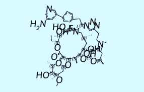 CC[C@H]1OC(=O)[C@H](C)[C@@H](O[C@H]2C[C@@](C)(OC)[C@@H](O)[C@H](C)O2)[C@H](C)[C@@H](O[C@@H]2O[C@H](C)C[C@H](N(C)CCc3cn([C@H](CF)Cc4ccc(-c5cncc(N)c5)cc4)nn3)[C@H]2O)[C@](C)(O)C[C@@H](C)CN(C)[C@H](C)[C@@H](O)[C@]1(C)O